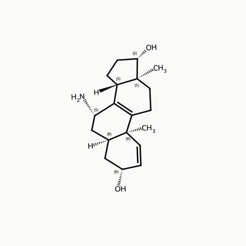 C[C@]12CCC3=C([C@@H](N)C[C@@H]4C[C@@H](O)C=C[C@]34C)[C@@H]1CC[C@@H]2O